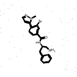 Cn1nccc1-c1ccc(C(=O)NC(CN)Cc2ccccc2)cc1Br